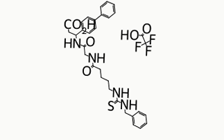 O=C(O)C(F)(F)F.O=C(O)CC(NC(=O)CNC(=O)CCCCNC(=S)NCc1ccccc1)c1ccc(-c2ccccc2)cc1